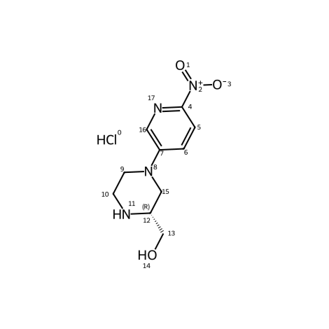 Cl.O=[N+]([O-])c1ccc(N2CCN[C@@H](CO)C2)cn1